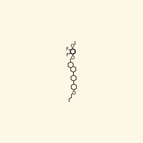 CCCCOC1CCC(C2CCC(C3CCC4CC(COc5ccc(OCC)c(F)c5F)CCC4C3)CC2)CC1